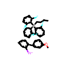 CCCC[B-](c1c(F)cccc1F)(c1c(F)cccc1F)c1c(F)cccc1F.COc1ccc(-c2ccccc2[IH+])cc1